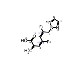 C=C(/C=C(F)\C=C(\F)Cn1nccn1)C(=O)O